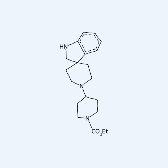 CCOC(=O)N1CCC(N2CCC3(CC2)CNc2ccccc23)CC1